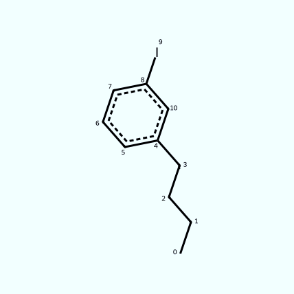 CCC[CH]c1cccc(I)c1